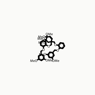 COc1cc(COc2ccccc2OCC2(COc3ccccc3OCc3cc(OC)cc(OC)c3)C=CC(OC)(OC)C(OC)(OC)C2)cc(OC)c1